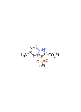 CCOC(=O)c1nn2ccc(C(F)(F)F)cc2c1S(=O)(=O)CC